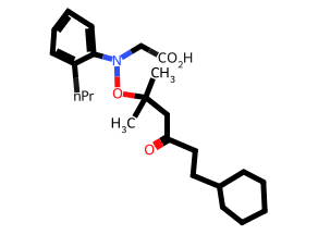 [CH2]CCc1ccccc1N(CC(=O)O)OC(C)(C)CC(=O)CCC1CCCCC1